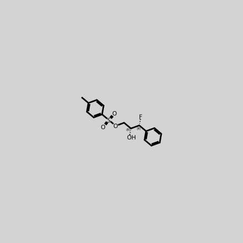 Cc1ccc(S(=O)(=O)OC[C@@H](O)[C@H](F)c2ccccc2)cc1